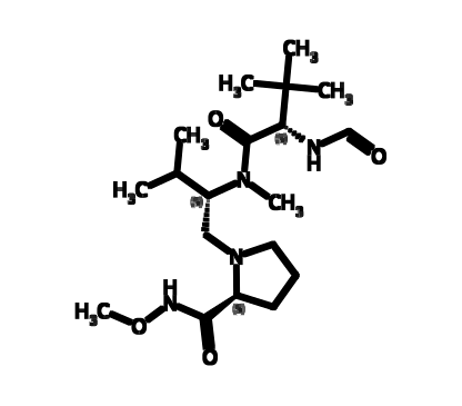 CONC(=O)[C@@H]1CCCN1C[C@H](C(C)C)N(C)C(=O)[C@@H](NC=O)C(C)(C)C